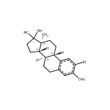 CCc1cc2c(cc1OC(C)=O)CC[C@@H]1[C@@H]2CC[C@@]2(C)[C@H]1CCC2(O)C#N